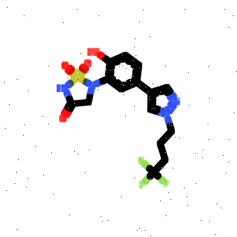 O=C1CN(c2cc(-c3cnn(CCCC(F)(F)F)c3)ccc2O)S(=O)(=O)N1